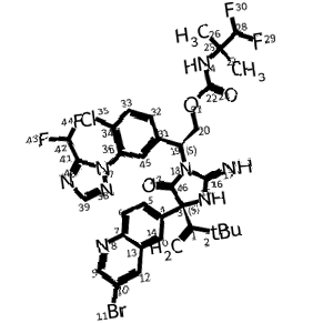 C=C(C(C)(C)C)[C@]1(c2ccc3ncc(Br)cc3c2)NC(=N)N([C@H](COC(=O)NC(C)(C)C(F)F)c2ccc(Cl)c(-n3ncnc3C(F)F)c2)C1=O